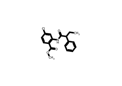 CCC(C(=O)Nc1cc(Cl)ccc1C(=O)OC)c1ccccc1